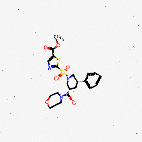 COC(=O)c1cnc(S(=O)(=O)N2C[C@@H](C(=O)N3CCOCC3)C[C@@H](c3ccccc3)C2)s1